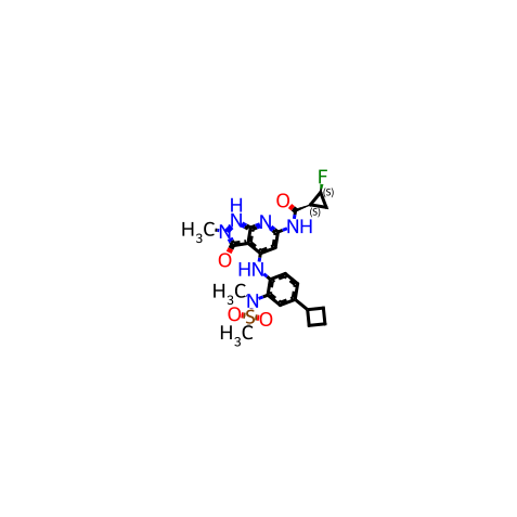 CN(c1cc(C2CCC2)ccc1Nc1cc(NC(=O)[C@@H]2C[C@@H]2F)nc2[nH]n(C)c(=O)c12)S(C)(=O)=O